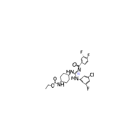 CCOC(=O)N[C@H]1CC[C@@H](N/C(=N\C(=O)c2ccc(F)c(F)c2)Nc2cc(F)cc(Cl)c2)CC1